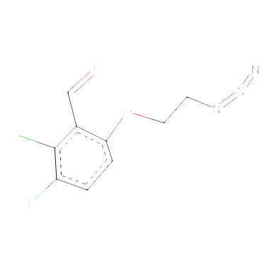 [N-]=[N+]=NCCOc1ccc(F)c(Cl)c1C=O